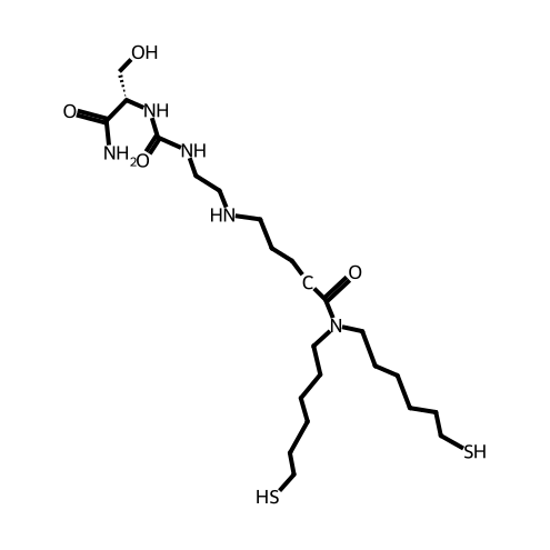 NC(=O)[C@H](CO)NC(=O)NCCNCCCCC(=O)N(CCCCCCS)CCCCCCS